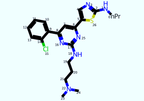 CCCNc1ncc(-c2cc(-c3ccccc3Cl)nc(NCCCN(C)C)n2)s1